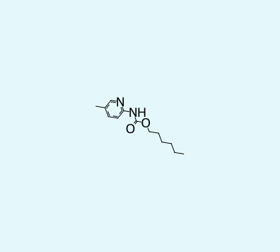 CCCCCCOC(=O)Nc1ccc(C)cn1